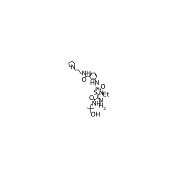 CCN1C(=O)[C@@H](CNc2cccc(C(=O)NCCCN3CCCC3)c2)S/C1=C(/N)C(=O)NCC(C)(C)CO